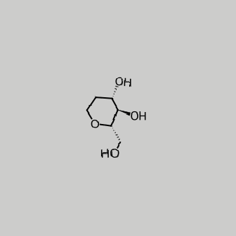 OC[C@@H]1OCC[C@H](O)[C@H]1O